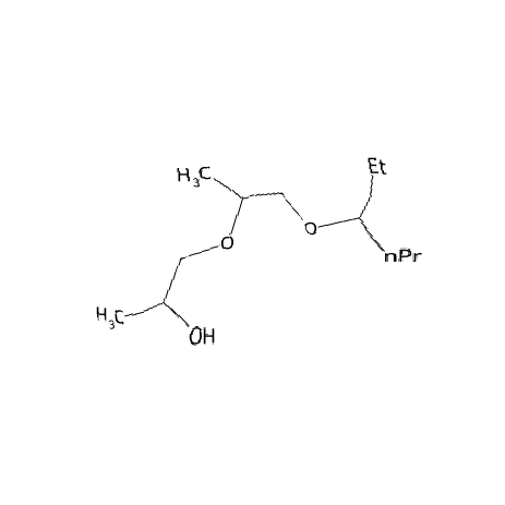 CCCC(CC)OCC(C)OCC(C)O